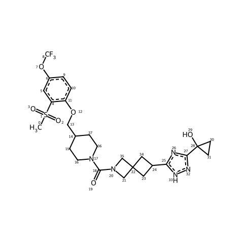 CS(=O)(=O)c1cc(OC(F)(F)F)ccc1OCC1CCN(C(=O)N2CC3(CC(c4nc(C5(O)CC5)n[nH]4)C3)C2)CC1